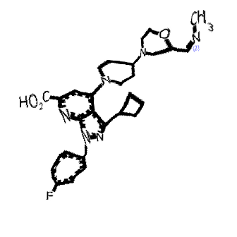 C/N=C\C1CN(C2CCN(c3cc(C(=O)O)nc4c3c(C3CCC3)nn4-c3ccc(F)cc3)CC2)CCO1